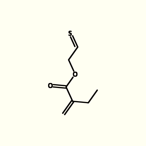 C=C(CC)C(=O)OCC=S